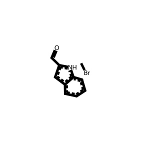 CBr.O=Cc1cc2ccccc2[nH]1